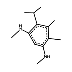 CNc1cc(NC)c(C(C)C)c(C)c1C